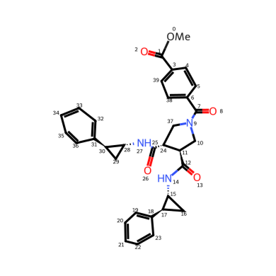 COC(=O)c1ccc(C(=O)N2C[C@@H](C(=O)N[C@@H]3C[C@H]3c3ccccc3)[C@H](C(=O)N[C@@H]3C[C@H]3c3ccccc3)C2)cc1